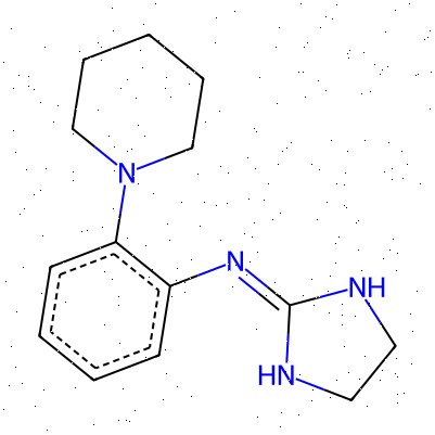 c1ccc(N2CCCCC2)c(N=C2NCCN2)c1